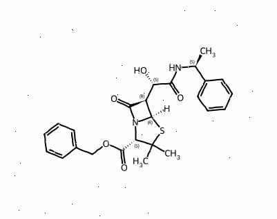 C[C@H](NC(=O)[C@@H](O)[C@@H]1C(=O)N2[C@@H]1SC(C)(C)[C@@H]2C(=O)OCc1ccccc1)c1ccccc1